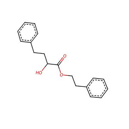 O=C(OCCc1ccccc1)C(O)CCc1ccccc1